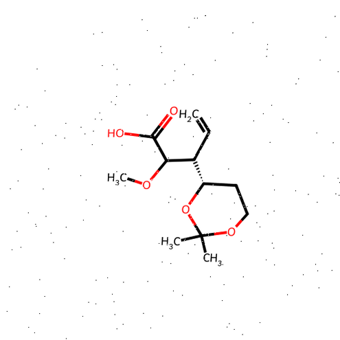 C=CC(C(OC)C(=O)O)[C@@H]1CCOC(C)(C)O1